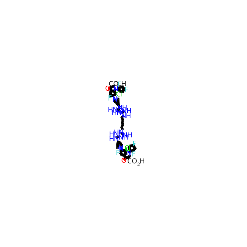 N=C(NCCCCCCNC(=N)NC(=N)NC1C2CN(c3c(F)cc4c(=O)c(C(=O)O)cn(-c5ccc(F)cc5F)c4c3Cl)CC21)NC(=N)NC1C2CN(c3c(F)cc4c(=O)c(C(=O)O)cn(-c5ccc(F)cc5F)c4c3Cl)CC21